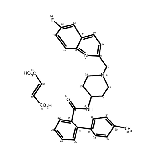 O=C(NC1CCN(Cc2ccc3cc(F)ccc3n2)CC1)c1ccccc1-c1ccc(C(F)(F)F)cc1.O=C(O)C=CC(=O)O